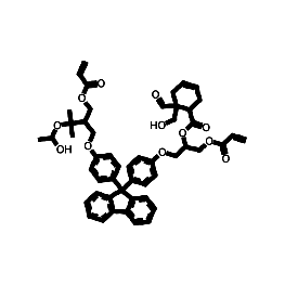 C=CC(=O)OCC(COc1ccc(C2(c3ccc(OCC(COC(=O)C=C)C(C)(C)OC(C)O)cc3)c3ccccc3-c3ccccc32)cc1)OC(=O)C1CC=CCC1(C=O)CO